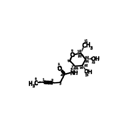 CC#CCC(=O)N[C@@H]1CO[C@H](C)[C@H](O)[C@@H]1O